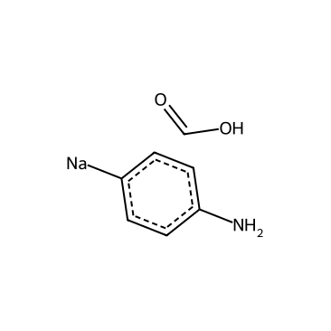 Nc1cc[c]([Na])cc1.O=CO